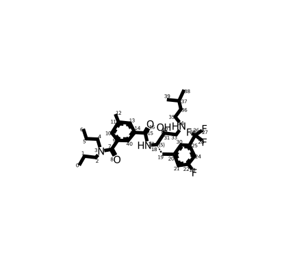 CCCN(CCC)C(=O)c1cc(C)cc(C(=O)N[C@@H](Cc2cc(F)cc(C(F)(F)F)c2)[C@H](O)CNCCC(C)C)c1